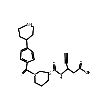 C#CC(CC(=O)O)NC(=O)[C@@H]1CCCN(C(=O)c2ccc(C3CCNCC3)cc2)C1